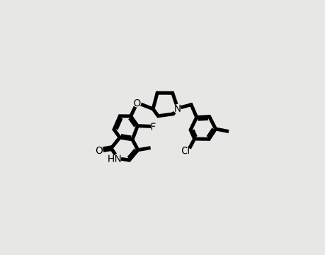 Cc1cc(Cl)cc(CN2CCC(Oc3ccc4c(=O)[nH]cc(C)c4c3F)CC2)c1